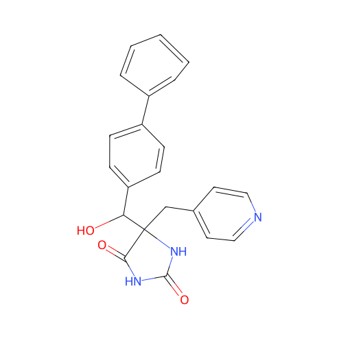 O=C1NC(=O)C(Cc2ccncc2)(C(O)c2ccc(-c3ccccc3)cc2)N1